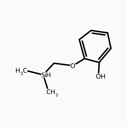 C[SiH](C)COc1ccccc1O